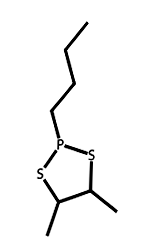 CCCCP1SC(C)C(C)S1